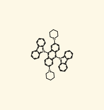 c1ccc2c(c1)c1ccccc1n2-c1c2ccc(N3CCCCC3)cc2c(-n2c3ccccc3c3ccccc32)c2ccc(N3CCCCC3)cc12